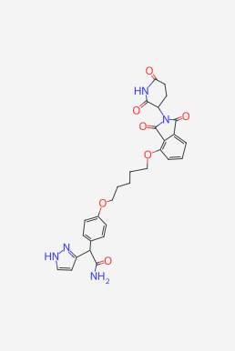 NC(=O)C(c1ccc(OCCCCCOc2cccc3c2C(=O)N(C2CCC(=O)NC2=O)C3=O)cc1)c1cc[nH]n1